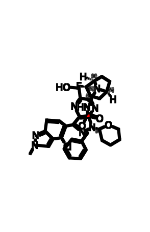 Cn1cc2c(Cl)c(-c3nn([C@H]4CCCCO4)c4nc(N5[C@H]6CC[C@@H]5[C@@H](F)[C@@H](NC(=O)OCc5ccccc5)C6)c(CO)nc34)ccc2n1